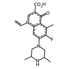 C=Cn1cc(C(=O)O)c(=O)c2c(C)c(F)c(N3CC(C)NC(C)C3)cc21